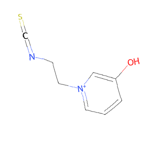 Oc1ccc[n+](CCN=C=S)c1